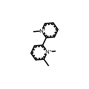 Cc1cccc(-c2cccc[n+]2C)[n+]1C